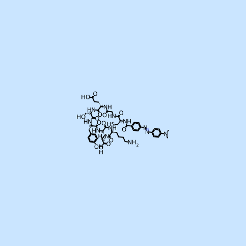 CN(C)c1ccc(/N=N/c2ccc(C(=O)N[C@@H](CS)C(=O)NCC(=O)N[C@@H](CCC(=O)O)C(=O)N[C@@H](CO)C(=O)N[C@@H](Cc3ccc(O)cc3)C(=O)N[C@@H](CCC(=O)O)C(=O)N[C@@H](CCCCN)C(N)=O)cc2)cc1